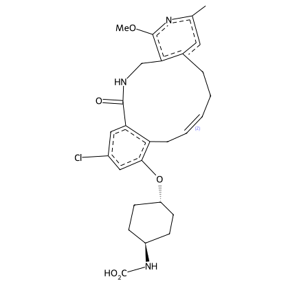 COc1nc(C)cc2c1CNC(=O)c1cc(Cl)cc(O[C@H]3CC[C@H](NC(=O)O)CC3)c1C/C=C\CC2